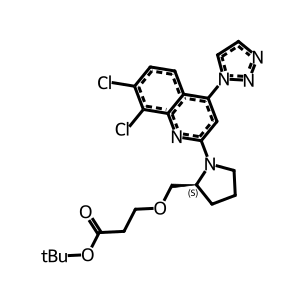 CC(C)(C)OC(=O)CCOC[C@@H]1CCCN1c1cc(-n2ccnn2)c2ccc(Cl)c(Cl)c2n1